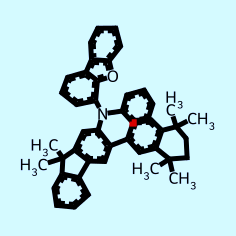 CC1(C)CCC(C)(C)c2cc(-c3cc4c(cc3N(c3ccccc3)c3cccc5c3oc3ccccc35)C(C)(C)c3ccccc3-4)ccc21